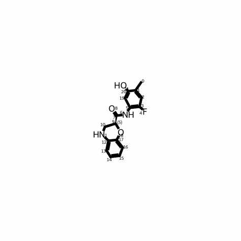 Cc1cc(F)c(NC(=O)[C@@H]2CNc3ccccc3O2)cc1O